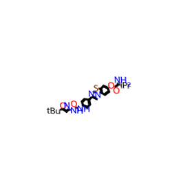 CC(C)[C@@H](N)C(=O)Oc1ccc2c(c1)sc1nc(-c3ccc(NC(=O)Nc4cc(C(C)(C)C)on4)cc3)cn12